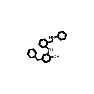 Oc1ccc(CC2C=CC=CC2)cc1Pc1ccccc1CNc1ccccc1